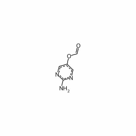 Nc1ncc(OC=O)cn1